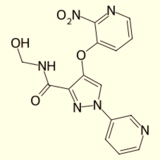 O=C(NCO)c1nn(-c2cccnc2)cc1Oc1cccnc1[N+](=O)[O-]